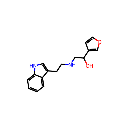 OC(CNCCc1c[nH]c2ccccc12)c1ccoc1